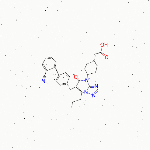 CCCc1c(Cc2ccc(-c3ccccc3C#N)cc2)c(=O)n(C2CCC(=CC(=O)O)CC2)c2ncnn12